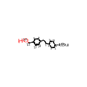 CC(C)(C)c1ccc(C=Cc2ccc(CO)cc2)cc1